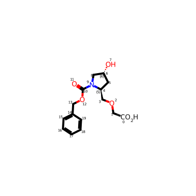 O=C(O)COC[C@@H]1C[C@@H](O)CN1C(=O)OCc1ccccc1